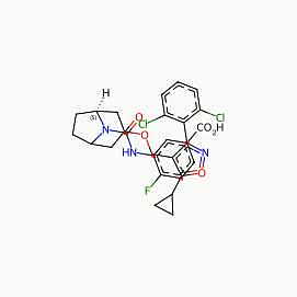 O=C(O)c1ccc(F)c(NC(=O)N2C3CC[C@H]2CC(OCc2c(-c4c(Cl)cccc4Cl)noc2C2CC2)C3)c1